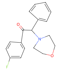 O=C(c1ccc(F)cc1)C(c1ccccc1)N1CCOCC1